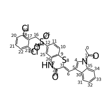 CC(=O)n1cc(C=C2Sc3ccc(S(=O)(=O)Cc4c(Cl)cccc4Cl)cc3NC2=O)c2ccccc21